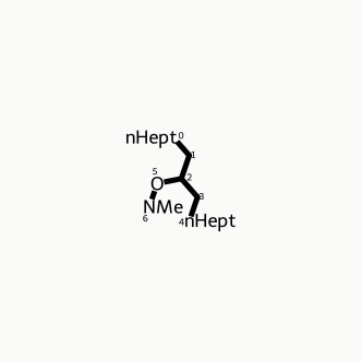 CCCCCCCCC(CCCCCCCC)ONC